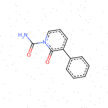 NC(=O)n1cccc(-c2ccccc2)c1=O